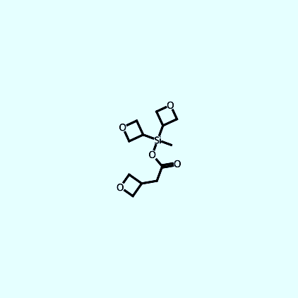 C[Si](OC(=O)CC1COC1)(C1COC1)C1COC1